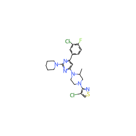 CC1CN(c2nscc2Cl)CCN1c1cc(-c2ccc(F)c(Cl)c2)nc(N2CCCCC2)n1